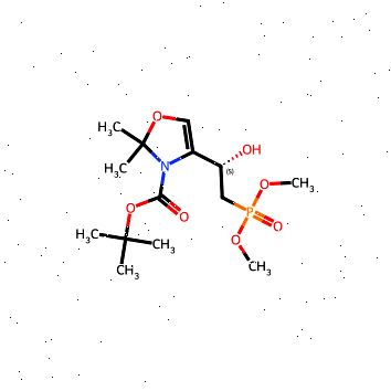 COP(=O)(C[C@@H](O)C1=COC(C)(C)N1C(=O)OC(C)(C)C)OC